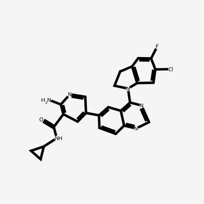 Nc1ncc(-c2ccc3ncnc(N4CCc5cc(F)c(Cl)cc54)c3c2)cc1C(=O)NC1CC1